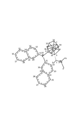 CC(N(C)C)[C@]12[CH]3[CH]4[CH]5[C]1(P(c1ccc6ccccc6c1)c1ccc6ccccc6c1)[Fe]45321678[CH]2[CH]1[CH]6[CH]7[CH]28